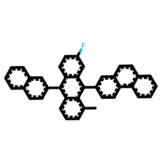 Cc1cccc2c(-c3ccc4ccccc4c3)c3ccc(F)cc3c(-c3ccc4c(ccc5ccccc54)c3)c12